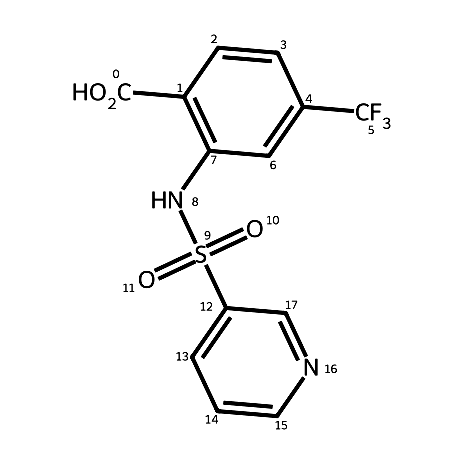 O=C(O)c1ccc(C(F)(F)F)cc1NS(=O)(=O)c1cccnc1